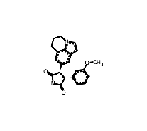 COc1cccc([C@@H]2C(=O)NC(=O)[C@H]2c2cc3c4c(ccn4CCC3)c2)c1